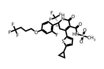 CS(=O)(=O)NC(=O)C1=C(c2ccc(C3CC3)s2)C[C@](c2ccc(OCCCC(F)(F)F)cc2F)(C(F)(F)F)NC1=O